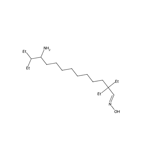 CCC(CC)C(N)CCCCCCCCC(C=NO)(CC)CC